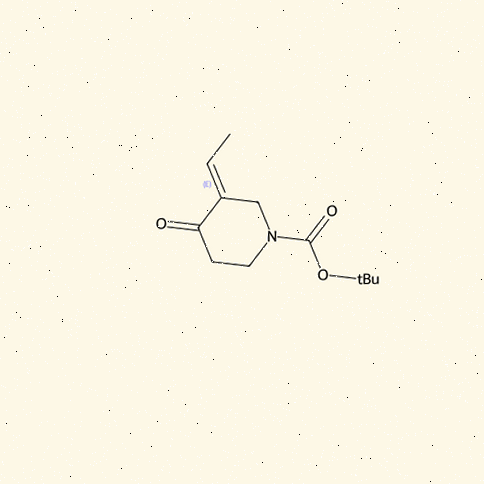 C/C=C1\CN(C(=O)OC(C)(C)C)CCC1=O